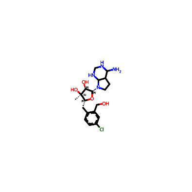 C[C@@]1(O)[C@@H](Cc2ccc(Cl)cc2CO)O[C@@H](N2CCC3C(N)NCNC32)[C@@H]1O